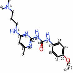 Cc1cc(NCCCN(C)C)nc(NC(=O)Nc2ccc(OC(C)C)cc2)n1